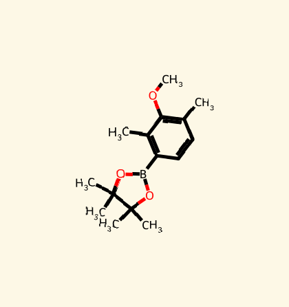 COc1c(C)ccc(B2OC(C)(C)C(C)(C)O2)c1C